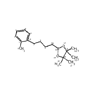 Cc1ccccc1CCCCB1OC(C)(C)C(C)(C)O1